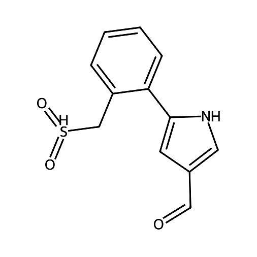 O=Cc1c[nH]c(-c2ccccc2C[SH](=O)=O)c1